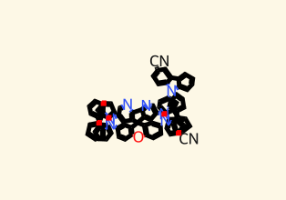 N#Cc1ccc2c(c1)c1ccccc1n2-c1cnc2c(c1)C1(c3cc(-n4c5ccccc5c5ccccc54)ccc3Oc3ccc(-n4c5ccccc5c5cc(-n6c7ccccc7c7cc(C#N)ccc76)ccc54)cc31)c1cc(-n3c4ccccc4c4ccccc43)cnc1-2